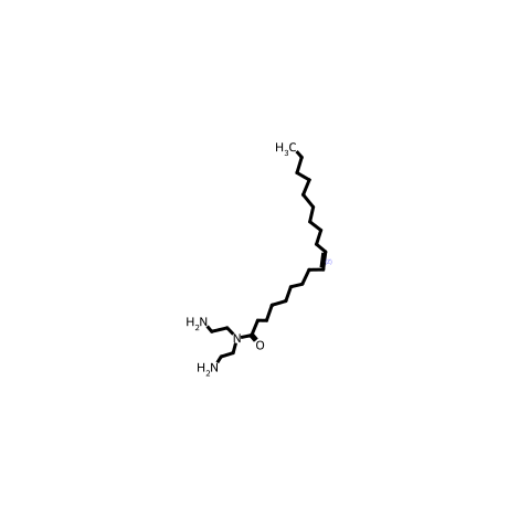 CCCCCCCCC/C=C\CCCCCCCC(=O)N(CCN)CCN